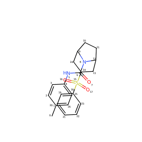 Cc1ccc(NC(=O)N2C3CCC2CC(S(=O)(=O)c2ccccc2)C3)cc1